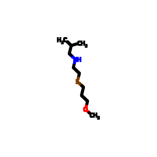 COCCCSCCNCC(C)C